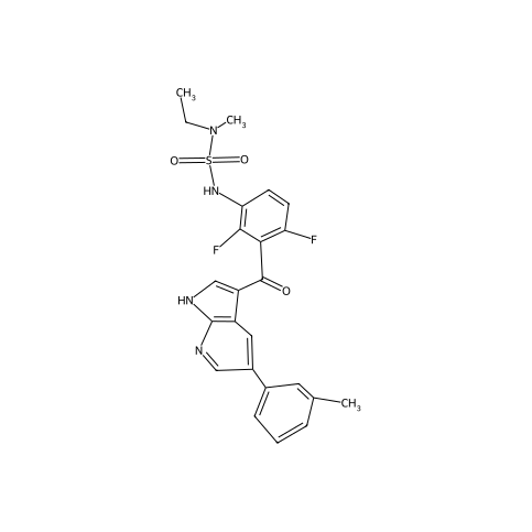 CCN(C)S(=O)(=O)Nc1ccc(F)c(C(=O)c2c[nH]c3ncc(-c4cccc(C)c4)cc23)c1F